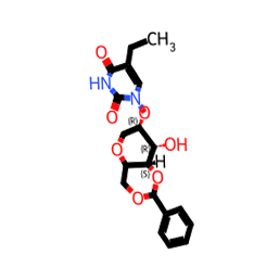 CCc1cn(O[C@@H]2COC3COC(c4ccccc4)O[C@H]3[C@H]2O)c(=O)[nH]c1=O